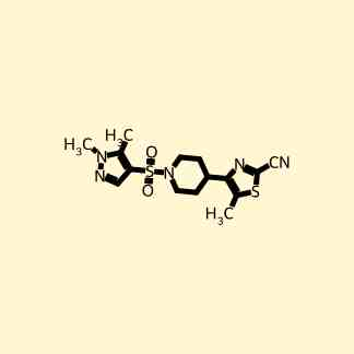 Cc1sc(C#N)nc1C1CCN(S(=O)(=O)c2cnn(C)c2C)CC1